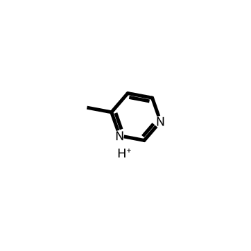 Cc1ccncn1.[H+]